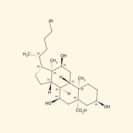 CC(C)CCC[C@@H](C)[C@H]1CC[C@H]2[C@@H]3[C@H](O)C[C@]4(C(=O)O)C[C@H](O)CC[C@]4(C)[C@H]3C[C@H](O)[C@]12C